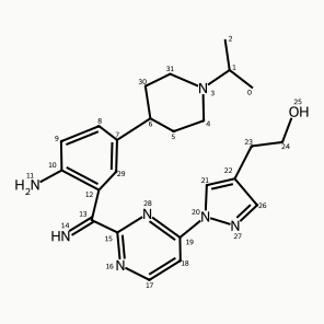 CC(C)N1CCC(c2ccc(N)c(C(=N)c3nccc(-n4cc(CCO)cn4)n3)c2)CC1